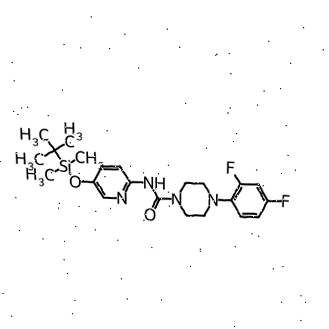 CC(C)(C)[Si](C)(C)Oc1ccc(NC(=O)N2CCN(c3ccc(F)cc3F)CC2)nc1